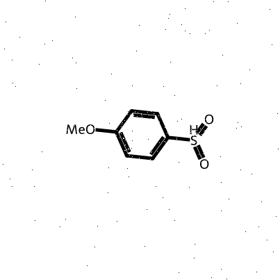 COc1ccc([SH](=O)=O)cc1